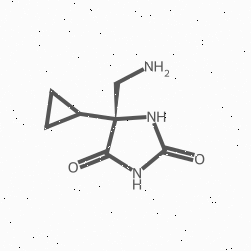 NC[C@@]1(C2CC2)NC(=O)NC1=O